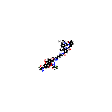 CCc1cccc(N(CC)C(=O)Cn2c(C(=O)N[C@H]3CC[C@H](C(=O)NCCCCCCNC(=O)Cc4ccc5c(c4)C4(OC5=O)c5ccc(NC(=O)C(F)(F)F)cc5Oc5cc(NC(=O)C(F)(F)F)ccc54)CC3)cc3ccccc32)c1